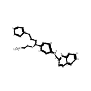 O=C(O)CCSC(CCCc1ccccc1)c1ccc(OCc2ccc3ccccc3n2)cc1